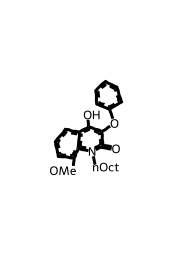 CCCCCCCCn1c(=O)c(Oc2ccccc2)c(O)c2cccc(OC)c21